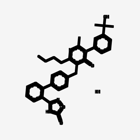 CCCCc1nc(C)n(-c2cccc(C(C)(C)O)c2)c(=O)c1Cc1ccc(-c2ccccc2-c2noc(=O)[nH]2)cc1.[KH]